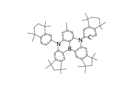 Cc1cc2c3c(c1)N(c1ccc4c(c1)C(C)(C)CCC4(C)C)c1cc4c(cc1B3c1cc3c(cc1N2c1ccc2c(c1)C(C)(C)CCC2(C)C)C(C)(C)CC3(C)C)C(C)(C)CC4(C)C